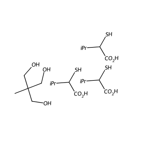 CC(C)C(S)C(=O)O.CC(C)C(S)C(=O)O.CC(C)C(S)C(=O)O.CC(CO)(CO)CO